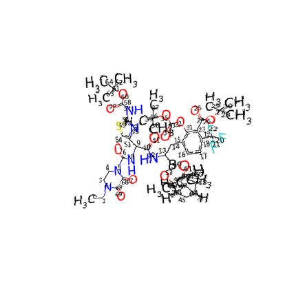 CCN1CCN(C(=O)NC(C(=O)NC(Cc2ccc(C(F)(F)F)c(C(=O)OC(C)(C)C)c2OC(=O)OC(C)(C)C)B2O[C@@H]3C[C@@H]4C[C@@H](C4(C)C)[C@]3(C)O2)c2csc(NC(=O)OC(C)(C)C)n2)C(=O)C1=O